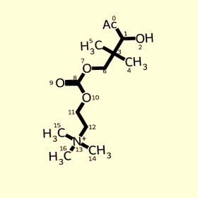 CC(=O)C(O)C(C)(C)COC(=O)OCC[N+](C)(C)C